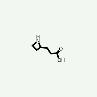 O=C(O)CCC1CCN1